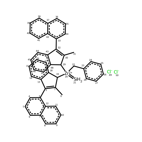 CC1=C(c2cccc3ccccc23)c2ccccc2[CH]1[Zr+2](=[SiH2])([CH2]c1ccccc1)[CH]1C(C)=C(c2cccc3ccccc23)c2ccccc21.[Cl-].[Cl-]